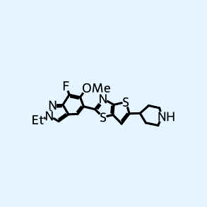 CCn1cc2cc(-c3nc4sc(C5CCNCC5)cc4s3)c(OC)c(F)c2n1